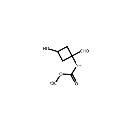 CC(C)(C)OC(=O)NC1(C=O)CC(O)C1